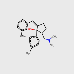 COc1cccc(C=C2CCC(CN(C)C)C2(O)c2ccc(C)cc2)c1